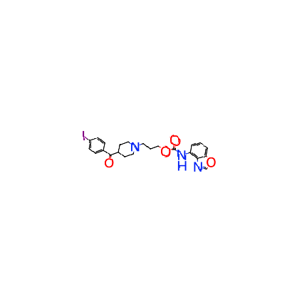 O=C(Nc1cccc2ocnc12)OCCCN1CCC(C(=O)c2ccc(I)cc2)CC1